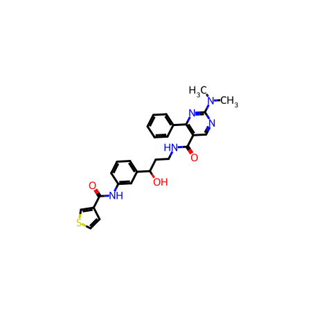 CN(C)c1ncc(C(=O)NCCC(O)c2cccc(NC(=O)c3ccsc3)c2)c(-c2ccccc2)n1